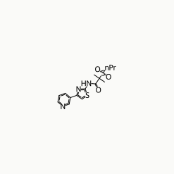 CCCS(=O)(=O)C(C)(C)C(=O)Nc1nc(-c2cccnc2)cs1